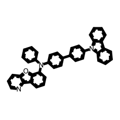 c1ccc(N(c2ccc(-c3ccc(-n4c5ccccc5c5ccccc54)cc3)cc2)c2cccc3c2oc2cccnc23)cc1